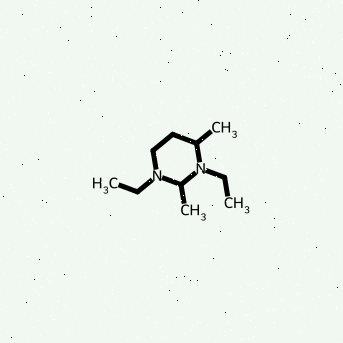 CCN1CCC(C)N(CC)C1C